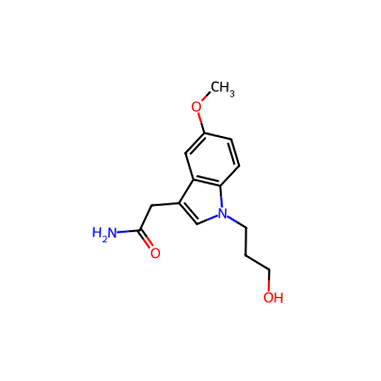 COc1ccc2c(c1)c(CC(N)=O)cn2CCCO